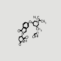 CC(C)N1C[C@H](C)C[C@@H](Oc2ccc3c(c2)CN(C2CCC(=O)NC2=O)C3=O)C1.O=CO